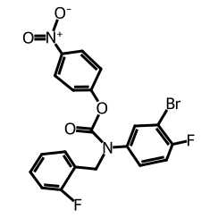 O=C(Oc1ccc([N+](=O)[O-])cc1)N(Cc1ccccc1F)c1ccc(F)c(Br)c1